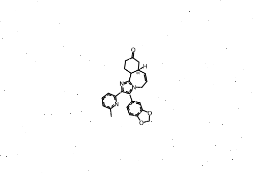 Cc1cccc(-c2nc3n(c2-c2ccc4c(c2)OCO4)CC=C[C@H]2CC(=O)CCC32)n1